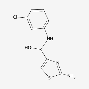 Nc1nc(C(O)Nc2cccc(Cl)c2)cs1